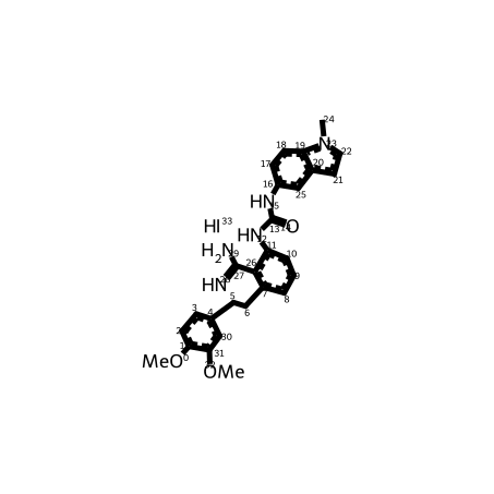 COc1ccc(CCc2cccc(NC(=O)Nc3ccc4c(ccn4C)c3)c2C(=N)N)cc1OC.I